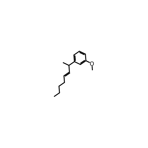 CCCC/C=C/C(C)c1cccc(OC)c1